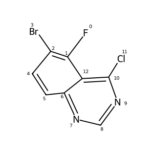 Fc1c(Br)ccc2ncnc(Cl)c12